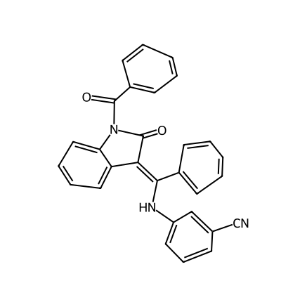 N#Cc1cccc(N/C(=C2/C(=O)N(C(=O)c3ccccc3)c3ccccc32)c2ccccc2)c1